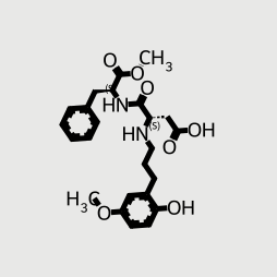 COC(=O)[C@H](Cc1ccccc1)NC(=O)[C@H](CC(=O)O)NCCCc1cc(OC)ccc1O